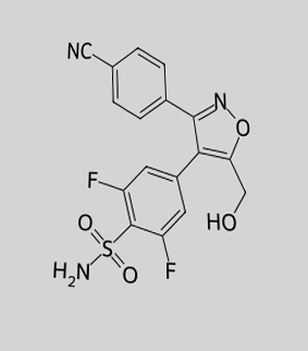 N#Cc1ccc(-c2noc(CO)c2-c2cc(F)c(S(N)(=O)=O)c(F)c2)cc1